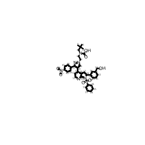 CC(C)(C)CN(CCn1cc(-c2ccnc3c2cc(-c2cccc(CO)c2)n3S(=O)(=O)c2ccccc2)c(-c2ccc([N+](=O)[O-])cc2)n1)C(=O)O